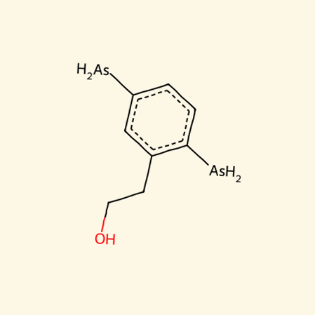 OCCc1cc([AsH2])ccc1[AsH2]